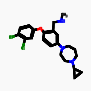 CNCc1cc(N2CCCN(C3CC3)CC2)ccc1Oc1ccc(Cl)c(Cl)c1